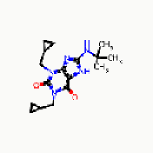 CC(C)(C)Nc1nc2c([nH]1)c(=O)n(CC1CC1)c(=O)n2CC1CC1